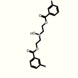 O=C(OCCN(O)CCOC(=O)c1cccc(I)c1)c1cccc(I)c1